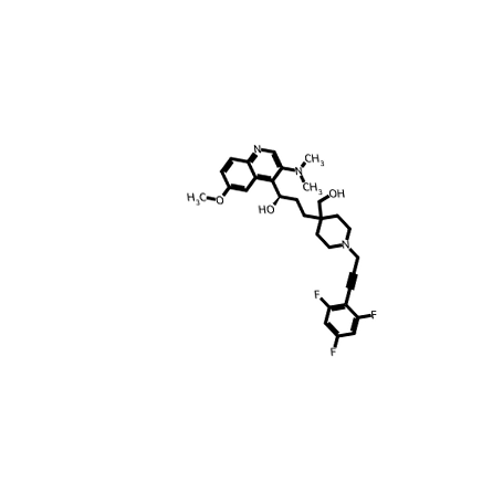 COc1ccc2ncc(N(C)C)c([C@H](O)CCC3(CO)CCN(CC#Cc4c(F)cc(F)cc4F)CC3)c2c1